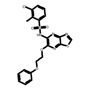 Cc1c(Cl)cccc1S(=O)(=O)Nc1nc2ncsc2nc1OCCOc1ccccc1